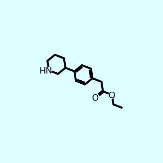 CCOC(=O)Cc1ccc(C2CCCNC2)cc1